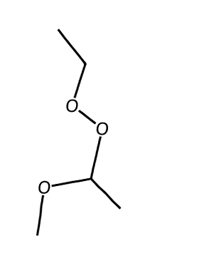 CCOOC(C)OC